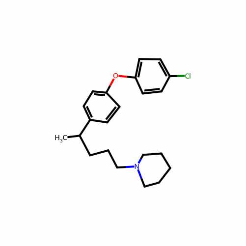 CC(CCCN1CCCCC1)c1ccc(Oc2ccc(Cl)cc2)cc1